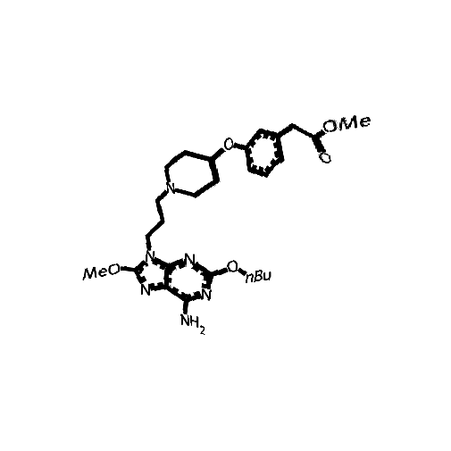 CCCCOc1nc(N)c2nc(OC)n(CCCN3CCC(Oc4cccc(CC(=O)OC)c4)CC3)c2n1